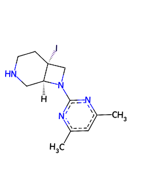 Cc1cc(C)nc(N2C[C@]3(I)CCNC[C@H]23)n1